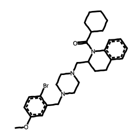 COc1ccc(Br)c(CN2CCN(CC3CCc4ccccc4N3C(=O)C3CCCCC3)CC2)c1